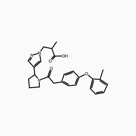 Cc1ccccc1Oc1ccc(CC(=O)N2CCCC2c2cnn(CC(C)C(=O)O)c2)cc1